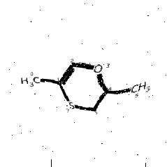 CC1=COC(C)CS1